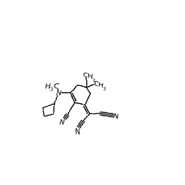 CN(C1=C(C#N)C(=C(C#N)C#N)CC(C)(C)C1)C1CCC1